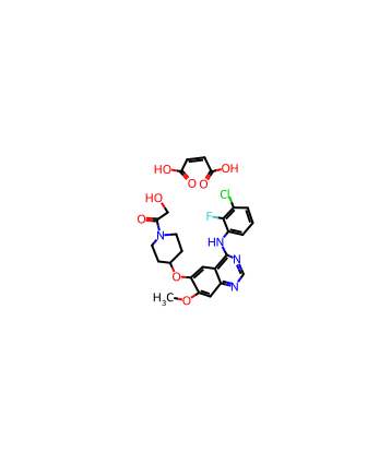 COc1cc2ncnc(Nc3cccc(Cl)c3F)c2cc1OC1CCN(C(=O)CO)CC1.O=C(O)/C=C\C(=O)O